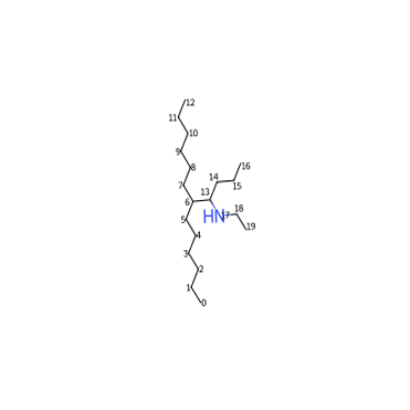 CCCCCCC(CCCCCC)C(CCC)NCC